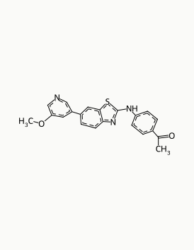 COc1cncc(-c2ccc3nc(Nc4ccc(C(C)=O)cc4)sc3c2)c1